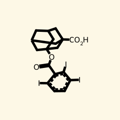 O=C(OC12CC3CC(C1)CC(C(=O)O)(C3)C2)c1c(I)ccc(I)c1I